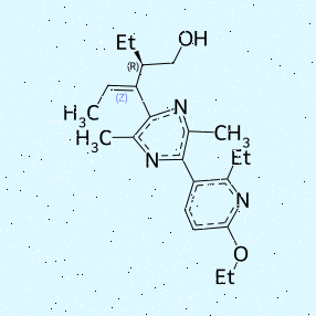 C/C=C(\c1nc(C)c(-c2ccc(OCC)nc2CC)nc1C)[C@@H](CC)CO